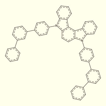 c1ccc(-c2cccc(-c3ccc(-n4c5ccccc5c5c6c7ccccc7n(-c7ccc(-c8cccc(-c9ccccc9)c8)cc7)c6ccc54)cc3)c2)cc1